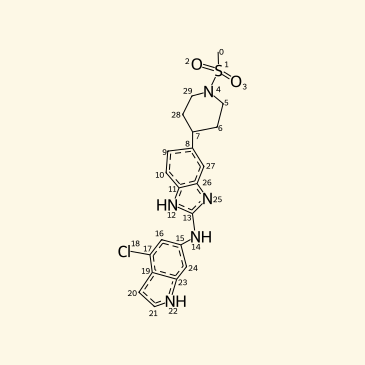 CS(=O)(=O)N1CCC(c2ccc3[nH]c(Nc4cc(Cl)c5cc[nH]c5c4)nc3c2)CC1